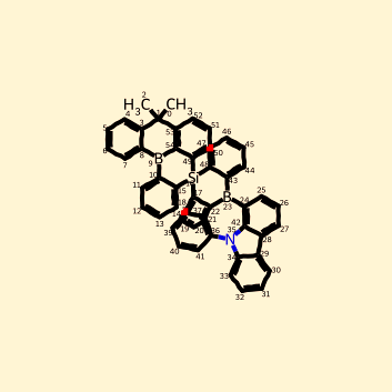 CC1(C)c2ccccc2B2c3ccccc3[Si]3(c4ccccc4B(c4cccc5c6ccccc6n(-c6ccccc6)c45)c4ccccc43)c3cccc1c32